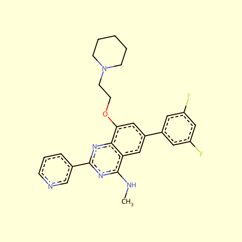 CNc1nc(-c2cccnc2)nc2c(OCCN3CCCCC3)cc(-c3cc(F)cc(F)c3)cc12